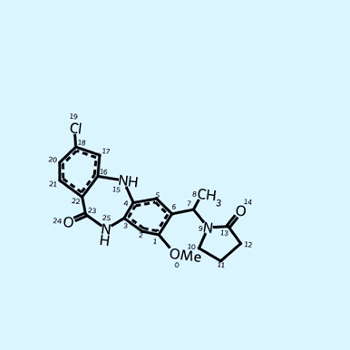 COc1cc2c(cc1C(C)N1CCCC1=O)Nc1cc(Cl)ccc1C(=O)N2